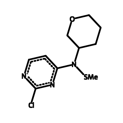 CSN(c1ccnc(Cl)n1)C1CCCOC1